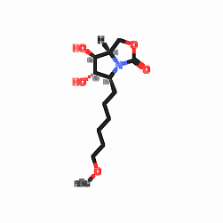 CCCCOCCCCCC[C@H]1[C@H](O)[C@@H](O)[C@@H]2COC(=O)N12